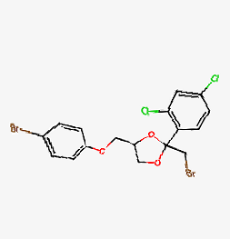 Clc1ccc(C2(CBr)OCC(COc3ccc(Br)cc3)O2)c(Cl)c1